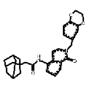 O=C(CC12CC3CC(CC(C3)C1)C2)Nc1cccc2c(=O)n(Cc3ccc4c(c3)OCCO4)ccc12